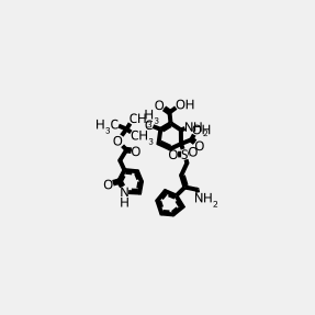 CC(C)(C)OC(=O)Cc1ccc[nH]c1=O.CC1=C(C(=O)O)C(N)C(C(=O)O)(S(=O)(=O)CC=C(CN)c2ccccc2)C=C1